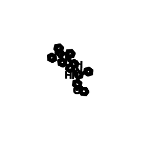 C1=Cc2oc3ccc(C4C=C(c5ccccc5)NC(c5cccc6c(N7c8ccccc8-c8c(n(-c9ccccc9)c9ccccc89)-c8ccccc87)cccc56)N4)cc3c2CC1